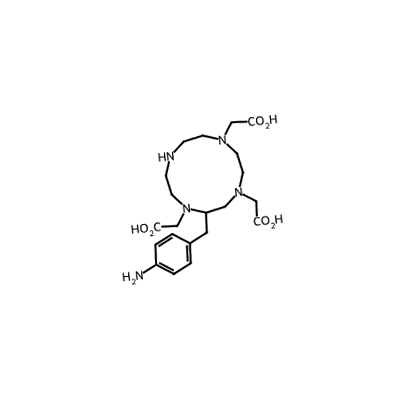 Nc1ccc(CC2CN(CC(=O)O)CCN(CC(=O)O)CCNCCN2CC(=O)O)cc1